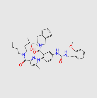 CCCCN(CCCC)C(=O)c1cc(C)n(-c2ccc(NC(=O)NCc3ccccc3OC)cc2C(=O)N2Cc3ccccc3C[C@H]2CO)n1